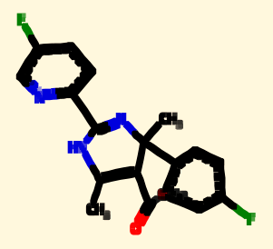 COC(=O)C1=C(C)NC(c2ccc(F)cn2)=NC1(C)c1ccc(F)cc1